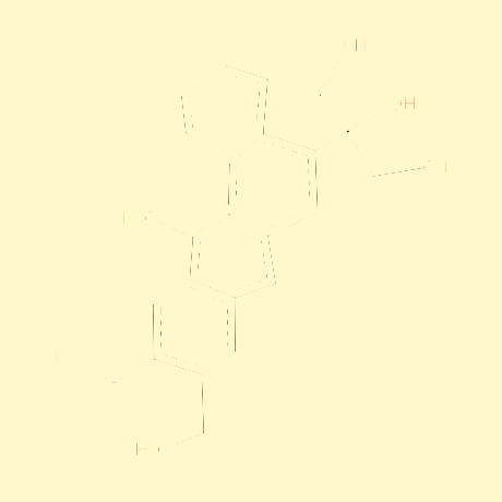 CCc1cc2cc3cc(C(O)(CC)CC)c4ccccc4c3c(C)c2cc1CC